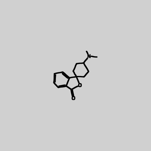 CN(C)C1CCC2(CC1)OC(=O)c1ccccc12